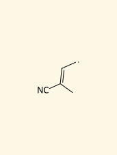 [CH2]C=C(C)C#N